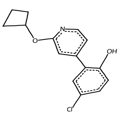 Oc1ccc(Cl)cc1-c1ccnc(OC2CCC2)c1